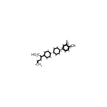 C=CCC(C(=O)O)C1CCC([C@H]2CC[C@H](c3ccc(C#N)c(F)c3)CC2)CC1